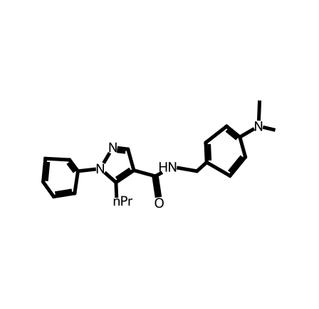 CCCc1c(C(=O)NCc2ccc(N(C)C)cc2)cnn1-c1ccccc1